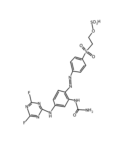 NC(=O)Nc1cc(Nc2nc(F)nc(F)n2)ccc1/N=N/c1ccc(S(=O)(=O)CCOS(=O)(=O)O)cc1